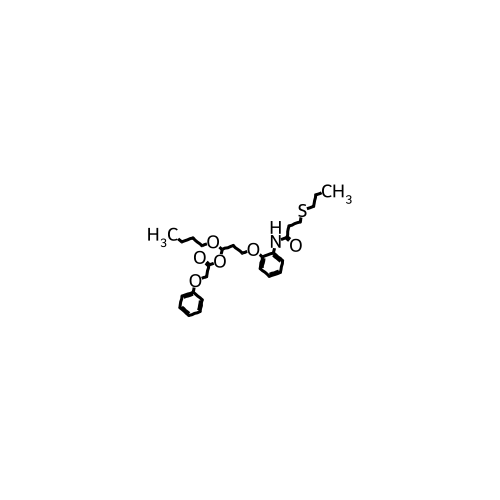 CCCCOC(CCOc1ccccc1NC(=O)CCSCCC)OC(=O)COc1ccccc1